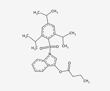 CCCC(=O)Oc1cn(S(=O)(=O)c2c(C(C)C)cc(C(C)C)cc2C(C)C)c2ccccc12